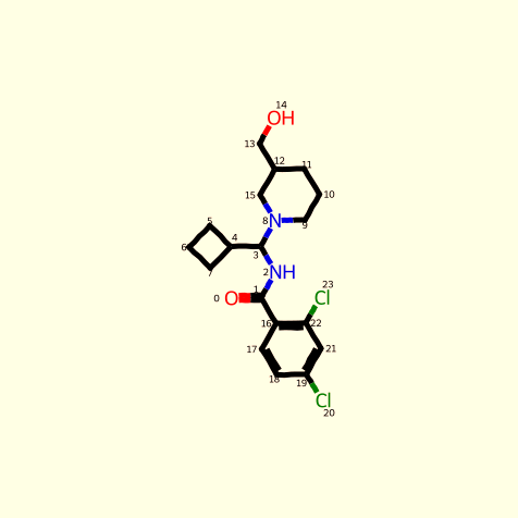 O=C(NC(C1CCC1)N1CCCC(CO)C1)c1ccc(Cl)cc1Cl